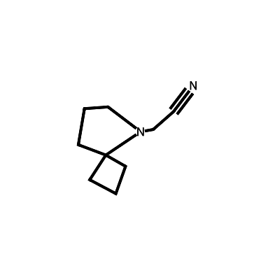 N#CCN1CCCC12CCC2